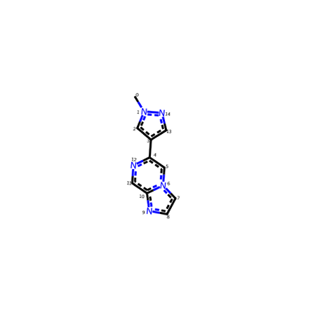 Cn1cc(-c2cn3ccnc3cn2)cn1